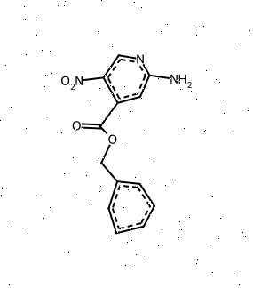 Nc1cc(C(=O)OCc2ccccc2)c([N+](=O)[O-])cn1